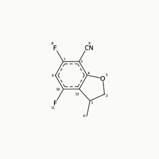 CC1COc2c(C#N)c(F)cc(F)c21